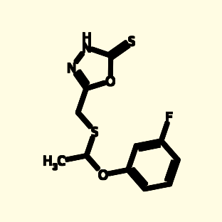 CC(Oc1cccc(F)c1)SCc1n[nH]c(=S)o1